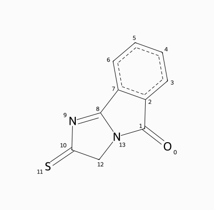 O=C1c2ccccc2C2=NC(=S)CN12